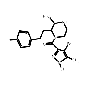 Cc1c(Br)c(C(=O)N2CCNC(C)C2CCc2ccc(F)cc2)nn1C